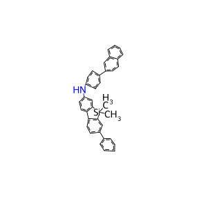 C[Si]1(C)c2cc(Nc3ccc(-c4ccc5ccccc5c4)cc3)ccc2-c2ccc(-c3ccccc3)cc21